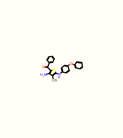 N#Cc1c(Nc2ccc(Oc3ccccc3)cc2)sc(C(=O)c2ccccc2)c1N